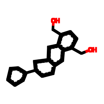 OCc1ccc(CO)c2cc3cc(-c4ccccc4)ccc3cc12